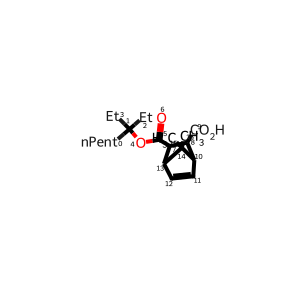 CCCCCC(CC)(CC)OC(=O)C1C(C(=O)O)C2C=CC1C2(C)C